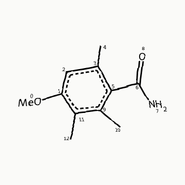 COc1cc(C)c(C(N)=O)c(C)c1C